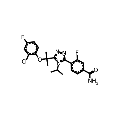 CC(C)n1c(-c2ccc(C(N)=O)cc2F)nnc1C(C)(C)Oc1ccc(F)cc1Cl